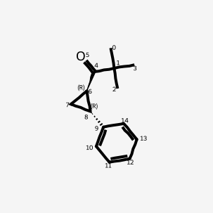 CC(C)(C)C(=O)[C@@H]1C[C@H]1c1ccccc1